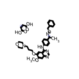 COc1cc2ncnc(Nc3ccc(/C(C)=N/OCc4ccccc4)cc3)c2cc1OCCCN1CCOCC1.O=C(O)/C=C\C(=O)O